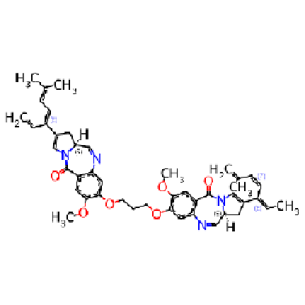 C=C/C(=C\C=C(C)C)C1=CN2C(=O)c3cc(OC)c(OCCCOc4cc5c(cc4OC)C(=O)N4C=C(C(/C=C\C(=C)C)=C/C)C[C@H]4C=N5)cc3N=C[C@@H]2C1